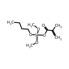 C=C(C)C(=O)O[Si](OC)(OC)OCCCC